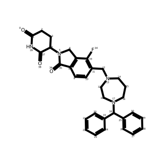 O=C1CCC(N2Cc3c(ccc(CN4CCCN(C(c5ccccc5)c5ccccc5)CC4)c3F)C2=O)C(=O)N1